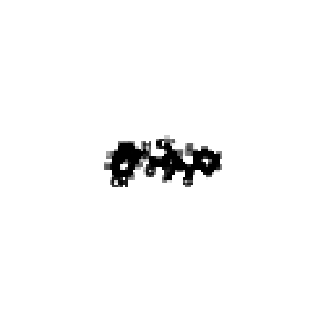 Cn1c(C(=O)c2ccccc2F)cc(Cl)c1C(=O)NC1C2CC3CC1CC(O)(C3)C2